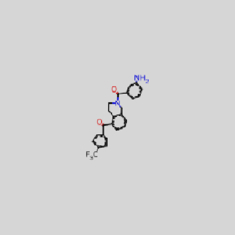 Nc1cccc(C(=O)N2CCc3c(cccc3C(=O)c3ccc(C(F)(F)F)cc3)C2)c1